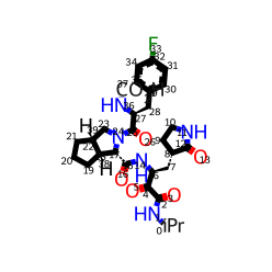 CC(C)NC(=O)C(=O)[C@H](C[C@@H]1CCNC1=O)NC(=O)[C@@H]1[C@H]2CCC[C@H]2CN1C(=O)[C@H](Cc1ccc(F)cc1)NC(=O)O